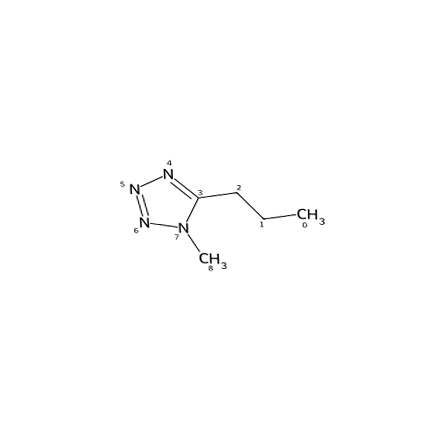 CCCc1nnnn1C